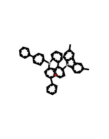 Cc1ccc2c(c1)c1cc(C)ccc1n2-c1ccccc1-c1ccccc1N(c1ccc(-c2ccccc2)cc1)c1ccc(-c2ccccc2)cc1